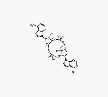 C[C@@]12COP(=O)(S)O[C@@H]3[C@H](O)[C@@H](CO[P@@](=O)(S)O[C@H]1[C@@H](O)[C@H](n1cnc4c(N)ncnc41)C2)O[C@H]3n1cnc2c(N)ncnc21